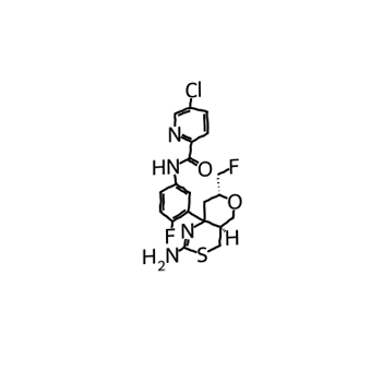 NC1=NC2(c3cc(NC(=O)c4ccc(Cl)cn4)ccc3F)C[C@H](CF)OC[C@H]2CS1